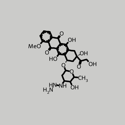 COc1cccc2c1C(=O)c1c(O)c3c(c(O)c1C2=O)C[C@@](O)(C(=O)CO)C[C@@H]3OC1CC(NNN)C(O)C(C)O1